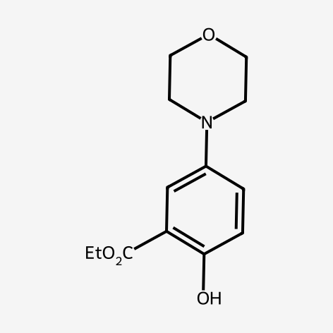 CCOC(=O)c1cc(N2CCOCC2)ccc1O